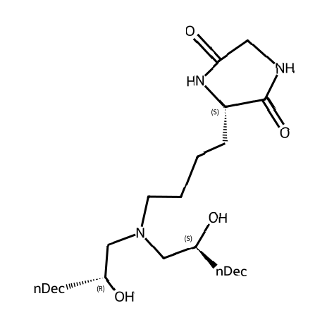 CCCCCCCCCC[C@@H](O)CN(CCCC[C@@H]1NC(=O)CNC1=O)C[C@@H](O)CCCCCCCCCC